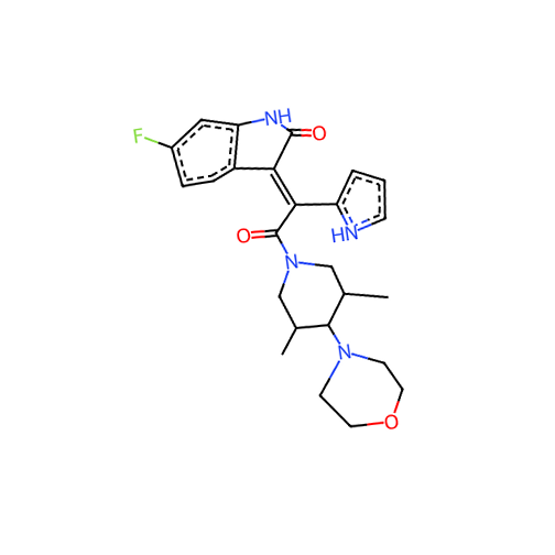 CC1CN(C(=O)C(=C2C(=O)Nc3cc(F)ccc32)c2ccc[nH]2)CC(C)C1N1CCOCC1